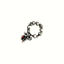 C=CN(C(=O)C1CCCCCCCCCCCCCCCCCCC1)C1(C)CCC2CC1C2(C)C